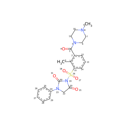 Cc1c(C(=O)N2CCN(C)CC2)cccc1S(=O)(=O)N1C(=O)CN(c2ccccc2)C1=O